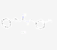 Cl.N=C(/C=C/c1ccccc1)NCc1cccc(C(F)(F)F)c1